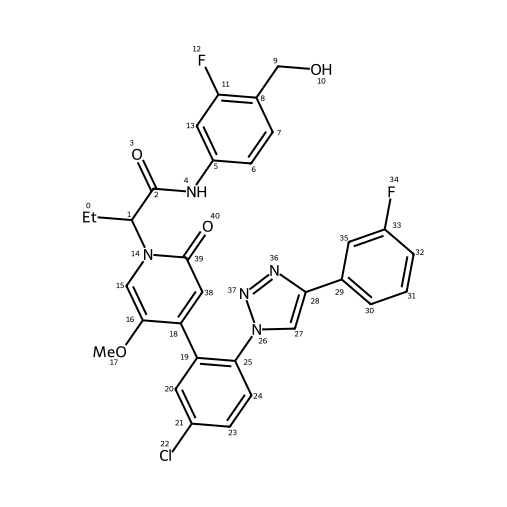 CCC(C(=O)Nc1ccc(CO)c(F)c1)n1cc(OC)c(-c2cc(Cl)ccc2-n2cc(-c3cccc(F)c3)nn2)cc1=O